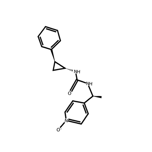 C[C@H](NC(=O)N[C@@H]1C[C@H]1c1ccccc1)c1cc[n+]([O-])cc1